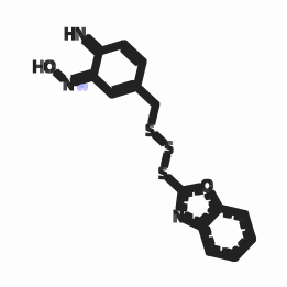 N=C1C=CC(CSSSc2nc3ccccc3o2)=C/C1=N/O